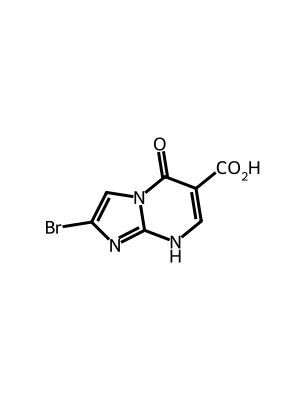 O=C(O)c1c[nH]c2nc(Br)cn2c1=O